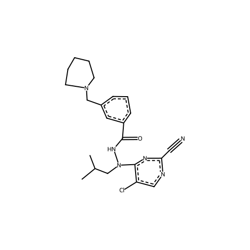 CC(C)CN(NC(=O)c1cccc(CN2CCCCC2)c1)c1nc(C#N)ncc1Cl